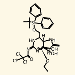 C=C1N[C@H]2[C@H](CO[Si](c3ccccc3)(c3ccccc3)C(C)(C)C)N/C(=N/C(=O)C(Cl)(Cl)Cl)N3C[C@H](OCC)C(O)(O)C23N1